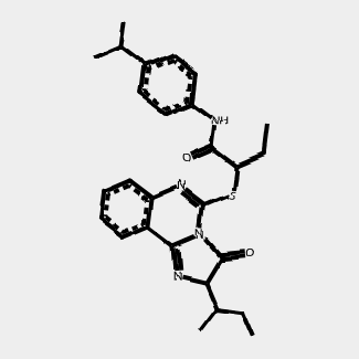 CCC(SC1=Nc2ccccc2C2=NC(C(C)CC)C(=O)N12)C(=O)Nc1ccc(C(C)C)cc1